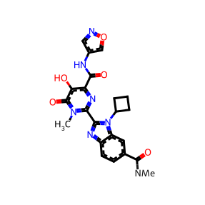 CNC(=O)c1ccc2nc(-c3nc(C(=O)Nc4cnoc4)c(O)c(=O)n3C)n(C3CCC3)c2c1